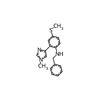 CSc1ccc(NCc2ccccc2)c(-c2cn(C)cn2)c1